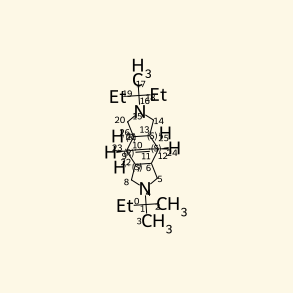 CCC(C)(C)N1CC2[C@@H](C1)[C@H]1C=C[C@@H]2[C@@H]2CN(C(C)(CC)CC)C[C@H]12